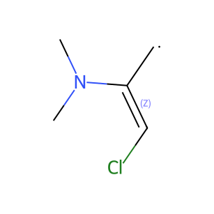 [CH2]/C(=C/Cl)N(C)C